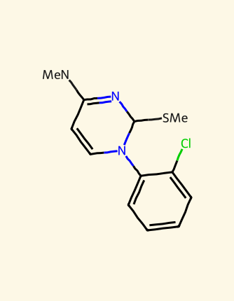 CNC1=NC(SC)N(c2ccccc2Cl)C=C1